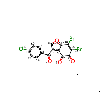 O=C1C(=O)c2c(C(=O)c3ccc(Cl)cc3)coc2C(Br)=C1Br